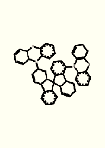 C1=CC2Oc3ccccc3N(C3C=CC4c5ccccc5C5(c6cccc(N7C8=C(CCC=C8)Oc8ccccc87)c6C6CCC=CC65)C4C3)C2C=C1